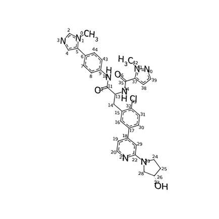 Cn1cncc1-c1ccc(NC(=O)C(Cc2cc(-c3ccnc(N4CC[C@H](O)C4)c3)ccc2Cl)NC(=O)c2ccnn2C)cc1